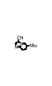 CC(C)(C)c1ccc2ncc(C#N)n2c1